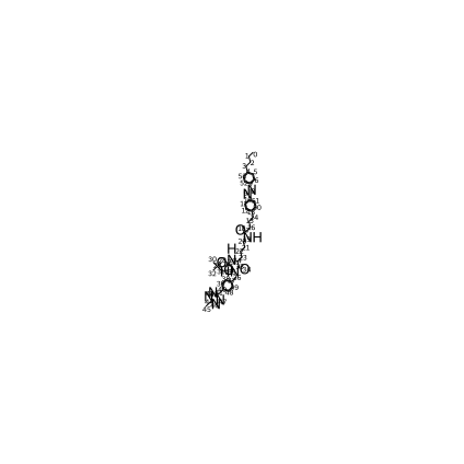 CCCCc1ccc(N=Nc2ccc(CCCC(=O)NCCCCC(NC(=O)OC(C)(C)C)C(=O)NCc3ccc(-c4nnc(C)nn4)cc3)cc2)cc1